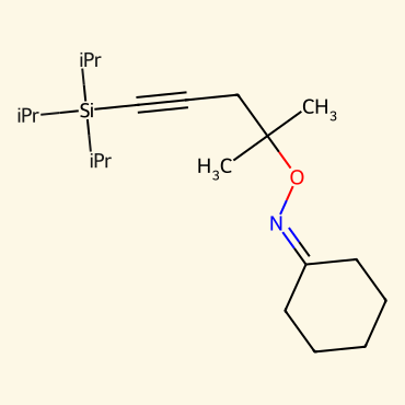 CC(C)[Si](C#CCC(C)(C)ON=C1CCCCC1)(C(C)C)C(C)C